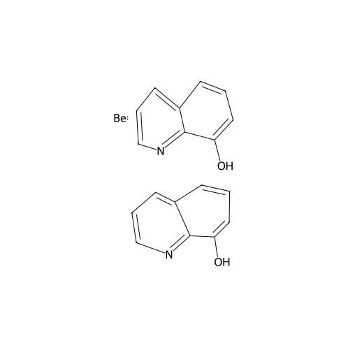 Oc1cccc2cccnc12.Oc1cccc2cccnc12.[Be]